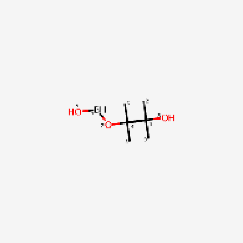 CC(C)(O)C(C)(C)OBO